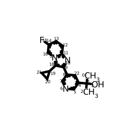 CC(C)(O)c1cncc(-c2nc3ccc(F)cn3c2C2CC2)c1